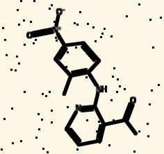 CC(=O)c1cccnc1Nc1ccc([N+](=O)[O-])cc1C